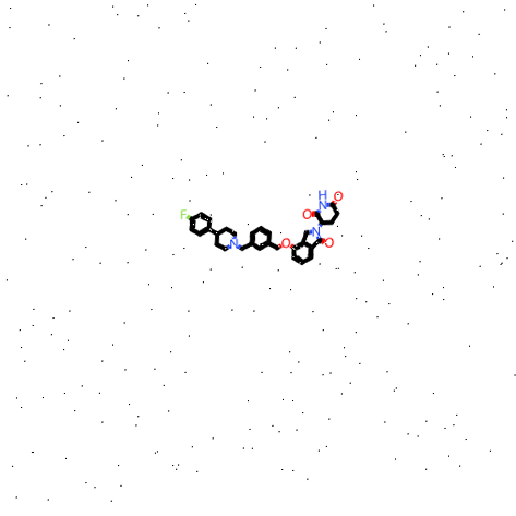 O=C1CCC(N2Cc3c(OCc4cccc(CN5CCC(c6ccc(F)cc6)CC5)c4)cccc3C2=O)C(=O)N1